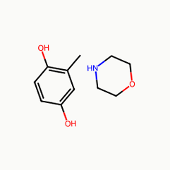 C1COCCN1.Cc1cc(O)ccc1O